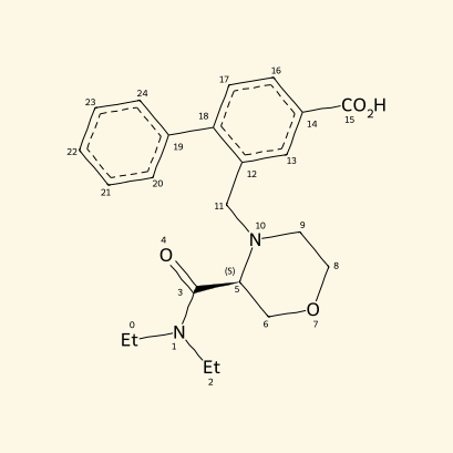 CCN(CC)C(=O)[C@@H]1COCCN1Cc1cc(C(=O)O)ccc1-c1ccccc1